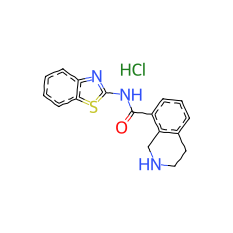 Cl.O=C(Nc1nc2ccccc2s1)c1cccc2c1CNCC2